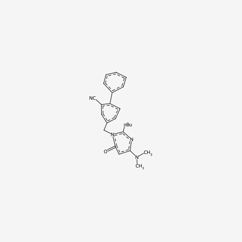 CCCCc1nc(N(C)C)cc(=O)n1Cc1ccc(-c2ccccc2)c(C#N)c1